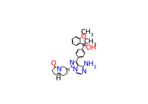 COc1ccccc1[C@](C)(O)c1ccc(-c2nc([C@@H]3CC[C@H]4CCC(=O)N4C3)n3ccnc(N)c23)cc1